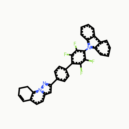 Fc1c(F)c(-n2c3ccccc3c3ccccc32)c(F)c(F)c1-c1ccc(-c2cc3ccc4c(n3n2)CCC=C4)cc1